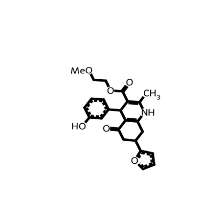 COCCOC(=O)C1=C(C)NC2=C(C(=O)CC(c3ccco3)C2)C1c1cccc(O)c1